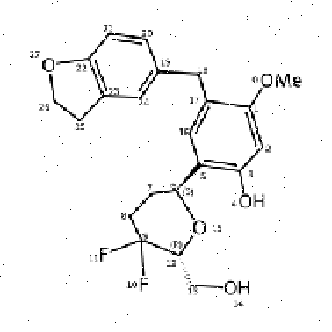 COc1cc(O)c([C@@H]2CCC(F)(F)[C@@H](CO)O2)cc1Cc1ccc2c(c1)CCO2